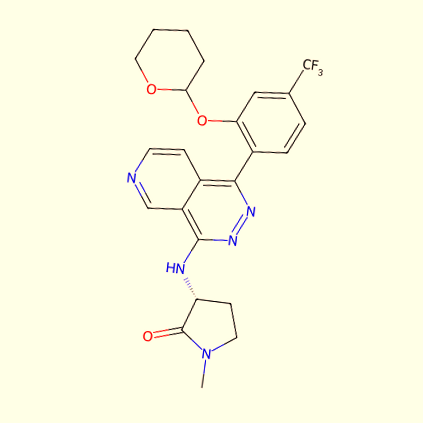 CN1CC[C@@H](Nc2nnc(-c3ccc(C(F)(F)F)cc3OC3CCCCO3)c3ccncc23)C1=O